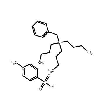 CCCC[N+](CCCC)(CCCC)Cc1ccccc1.Cc1ccc(S(=O)(=O)[O-])cc1